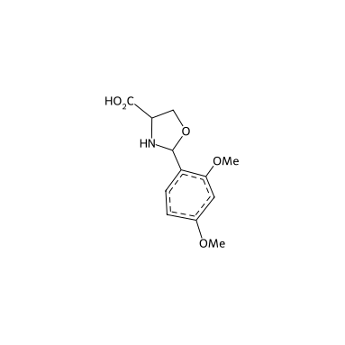 COc1ccc(C2NC(C(=O)O)CO2)c(OC)c1